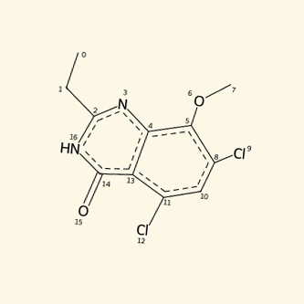 CCc1nc2c(OC)c(Cl)cc(Cl)c2c(=O)[nH]1